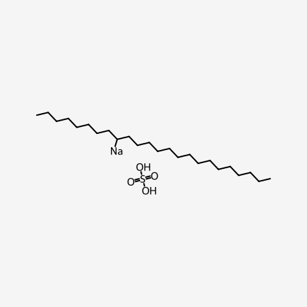 CCCCCCCCCCCCCCC[CH]([Na])CCCCCCCC.O=S(=O)(O)O